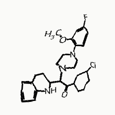 COc1cc(F)ccc1N1CCN(C(C(=O)C2CCCC(Cl)C2)C2CCc3ccccc3N2)CC1